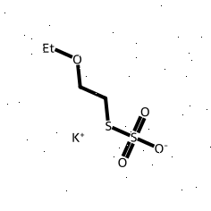 CCOCCSS(=O)(=O)[O-].[K+]